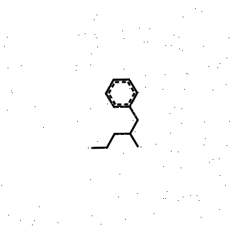 [CH2]CCC([CH2])Cc1ccccc1